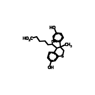 CCCC(CCCCC(=O)O)C1c2ccc(O)cc2SCC1(C)c1ccc(O)cc1